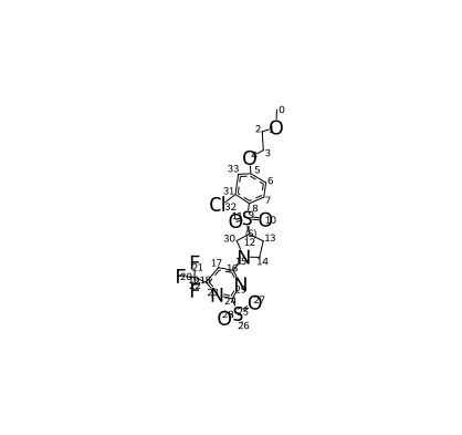 COCCOc1ccc(S(=O)(=O)[C@H]2CCN(c3cc(C(F)(F)F)nc(S(C)(=O)=O)n3)C2)c(Cl)c1